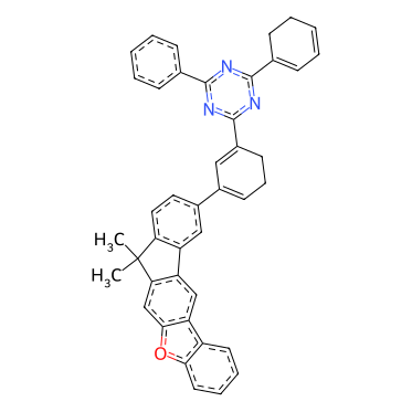 CC1(C)c2ccc(C3=CCCC(c4nc(C5=CC=CCC5)nc(-c5ccccc5)n4)=C3)cc2-c2cc3c(cc21)oc1ccccc13